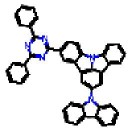 c1ccc(-c2nc(-c3ccccc3)nc(-c3ccc4c(c3)c3cc(-n5c6ccccc6c6ccccc65)cc5c6ccccc6n4c53)n2)cc1